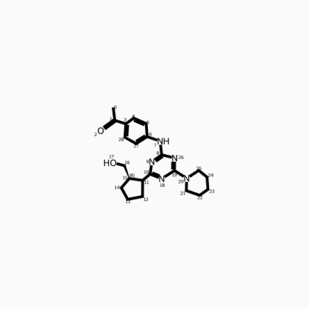 CC(=O)c1ccc(Nc2nc(C3CCC[C@H]3CO)nc(N3CCCCC3)n2)cc1